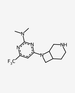 CN(C)c1nc(N2CC3CCNCC32)cc(C(F)(F)F)n1